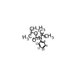 CC(C)OC(=O)N(c1ccccc1)C(C)C